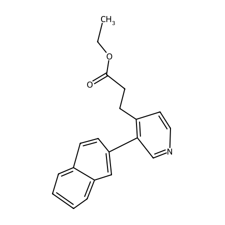 CCOC(=O)CCc1ccncc1-c1ccc2ccccc2c1